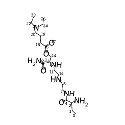 CCC(N)C(=O)NCCNCCNC(COC(=O)CCCN(CC)CC)C(N)=O